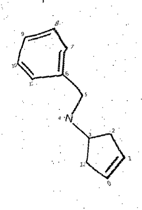 C1=CCC([N]Cc2ccccc2)C1